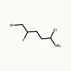 CCCCC(CC)CCC(F)CC(C)C